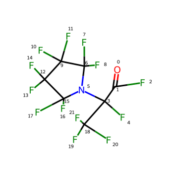 O=C(F)C(F)(N1C(F)(F)C(F)(F)C(F)(F)C1(F)F)C(F)(F)F